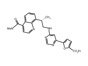 CCOC(=O)c1ccc(-c2cc(NC[C@@H](C)c3cccc4c(C(=O)NC)ccnc34)ncn2)o1